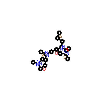 c1ccc(-c2nc(-c3cccc(-c4cccc5c4sc4ccccc45)c3)cc(-c3ccc(-c4ccc(-c5nc(-c6ccc(-c7ccc8oc9cccc(-c%10nc(-c%11ccccc%11)nc(-c%11ccccc%11)n%10)c9c8c7)cc6)c6sc7ccccc7c6n5)cc4)c4oc5ccc(-c6nc(-c7ccccc7)nc7c6sc6ccccc67)cc5c34)n2)cc1